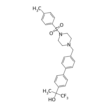 Cc1ccc(S(=O)(=O)N2CCN(Cc3ccc(-c4ccc(C(C)(O)C(F)(F)F)cc4)cc3)CC2)cc1